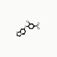 O=[N+]([O-])c1ccc(Oc2ccn3ccnc3c2)c(Cl)c1